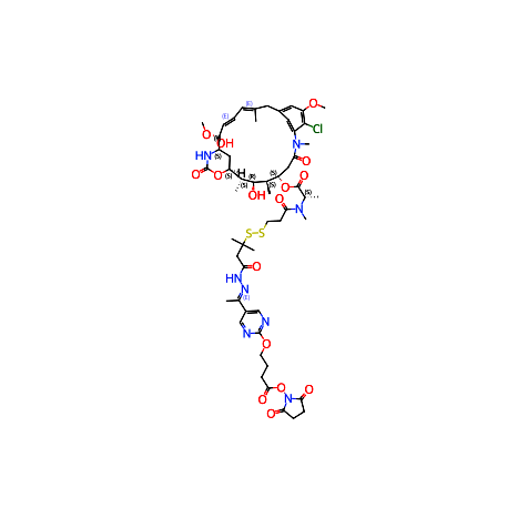 COc1cc2cc(c1Cl)N(C)C(=O)C[C@H](OC(=O)[C@H](C)N(C)C(=O)CCSSC(C)(C)CC(=O)N/N=C(\C)c1cnc(OCCCC(=O)ON3C(=O)CCC3=O)nc1)[C@@H](C)[C@@H](O)[C@H](C)[C@@H]1C[C@@](O)(NC(=O)O1)[C@H](OC)/C=C/C=C(\C)C2